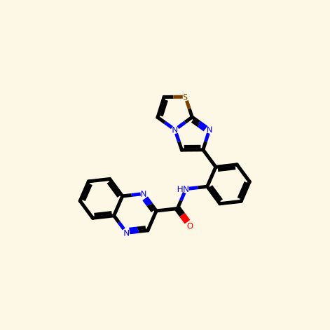 O=C(Nc1ccccc1-c1cn2ccsc2n1)c1cnc2ccccc2n1